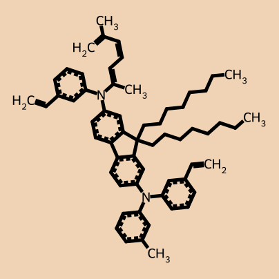 C=Cc1cccc(N(/C(C)=C/C=C\C(=C)C)c2ccc3c(c2)C(CCCCCCCC)(CCCCCCCC)c2cc(N(c4cccc(C)c4)c4cccc(C=C)c4)ccc2-3)c1